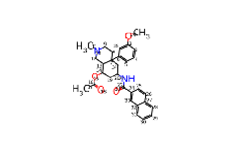 COc1cccc(C23CCN(C)CC2C(OC(C)=O)CC(NC(=O)c2ccc4ccccc4c2)C3)c1